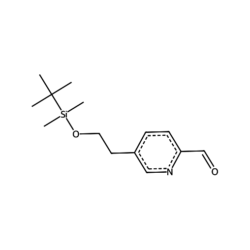 CC(C)(C)[Si](C)(C)OCCc1ccc(C=O)nc1